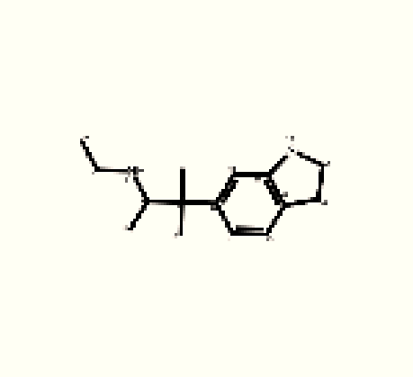 CCNC(C)C(C)(C)c1ccc2c(c1)SCC2